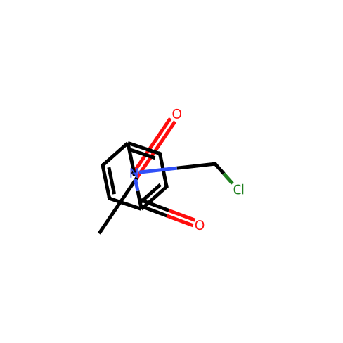 O=c1c2ccc(cc2)c(=O)n1CCl